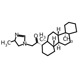 CC1CN(CC(=O)[C@H]2CCC[C@H]3[C@@H]4CCC5CCCC[C@]5(C)[C@H]4CC[C@]23C)C=N1